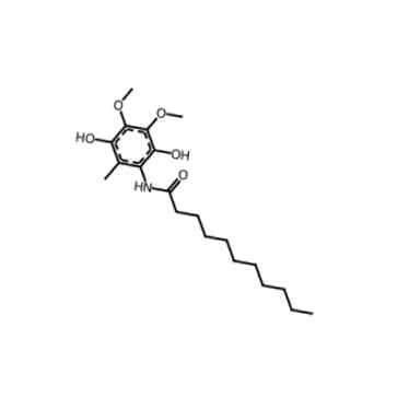 CCCCCCCCCCC(=O)Nc1c(C)c(O)c(OC)c(OC)c1O